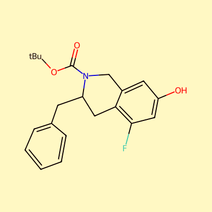 CC(C)(C)OC(=O)N1Cc2cc(O)cc(F)c2CC1Cc1ccccc1